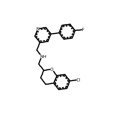 Fc1ccc(-c2cncc(CNCC3CCc4ccc(Cl)cc4O3)c2)cc1